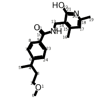 COCCC(C)c1ccc(C(=O)NCc2c(C)cc(C)nc2O)cc1